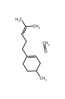 C=O.CC(C)=CCCC1=CCC(C)CC1